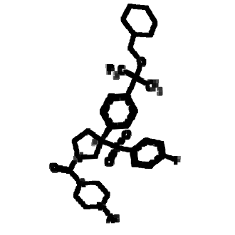 CC(=O)N1CCN(C(=O)N2CC[C@](c3ccc(C(OCC4CCCCC4)(C(F)(F)F)C(F)(F)F)cc3)(S(=O)(=O)c3ccc(F)cc3)C2)CC1